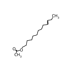 CCC=CCCCCCCCCCOC(C)=O